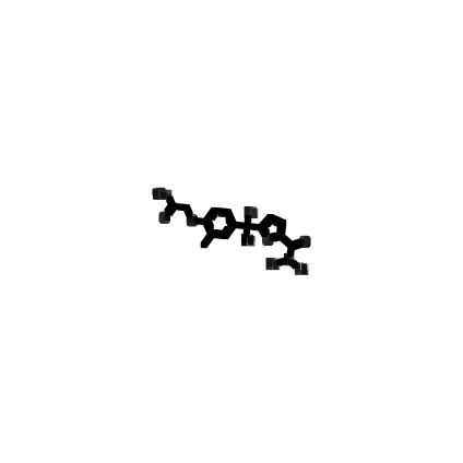 CCN(CC)C(=O)c1ccc(C(CC)(CC)c2ccc(OCC(=O)C(C)(C)C)c(C)c2)o1